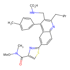 CON(C)C(=O)c1csc(-c2ccc3nc(CC(C)C)c(CNC(=O)O)c(-c4ccc(C)cc4)c3c2)n1